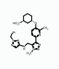 Cc1nc(-c2nnn(C)c2CNc2cnn(CC(C)C)n2)ccc1O[C@H]1CCC[C@H](C(=O)O)C1